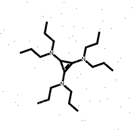 CCCN(CCC)C1=C(N(CCC)CCC)C1N(CCC)CCC